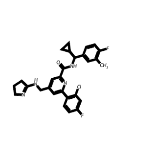 Cc1cc(C(NC(=O)c2cc(CNC3=NCCC3)cc(-c3ccc(F)cc3Cl)n2)C2CC2)ccc1F